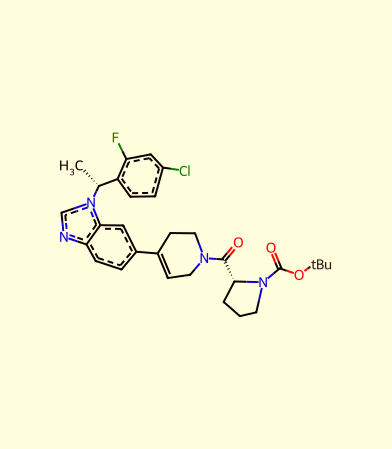 C[C@H](c1ccc(Cl)cc1F)n1cnc2ccc(C3=CCN(C(=O)[C@H]4CCCN4C(=O)OC(C)(C)C)CC3)cc21